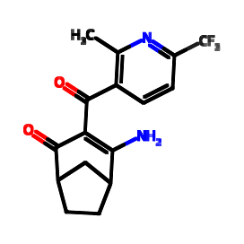 Cc1nc(C(F)(F)F)ccc1C(=O)C1=C(N)C2CCC(C2)C1=O